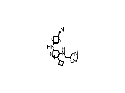 CN1CCOC(CNc2cc(Nc3cnc(C#N)cn3)nnc2C2CCC2)C1